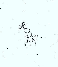 CCOC(=O)C(Cc1ccc([N+](=O)[O-])cc1)C(=O)N(CC)CC